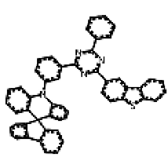 c1ccc(-c2nc(-c3cccc(N4c5ccccc5C5(c6ccccc6-c6ccccc65)c5ccccc54)c3)nc(-c3ccc4sc5ccccc5c4c3)n2)cc1